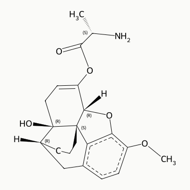 COc1ccc2c3c1O[C@H]1C(OC(=O)[C@H](C)N)=CC[C@@]4(O)[C@H](CCC[C@]314)C2